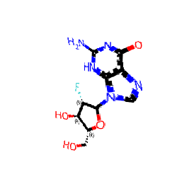 Nc1nc(=O)c2ncn(C3O[C@H](CO)[C@@H](O)[C@@H]3F)c2[nH]1